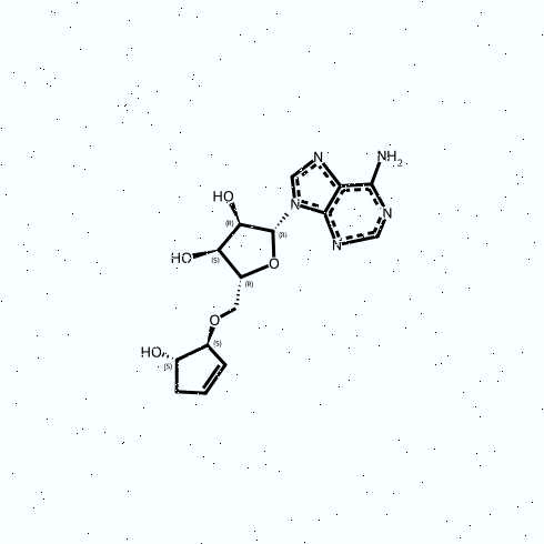 Nc1ncnc2c1ncn2[C@@H]1O[C@H](CO[C@H]2C=CC[C@@H]2O)[C@@H](O)[C@H]1O